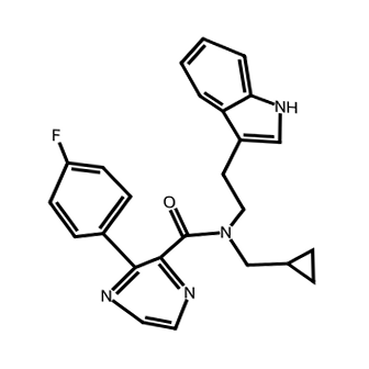 O=C(c1nccnc1-c1ccc(F)cc1)N(CCc1c[nH]c2ccccc12)CC1CC1